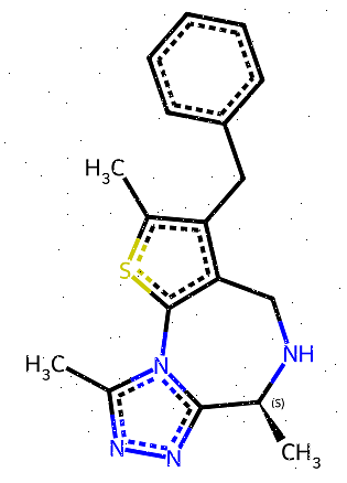 Cc1sc2c(c1Cc1ccccc1)CN[C@@H](C)c1nnc(C)n1-2